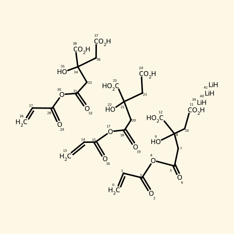 C=CC(=O)OC(=O)CC(O)(CC(=O)O)C(=O)O.C=CC(=O)OC(=O)CC(O)(CC(=O)O)C(=O)O.C=CC(=O)OC(=O)CC(O)(CC(=O)O)C(=O)O.[LiH].[LiH].[LiH]